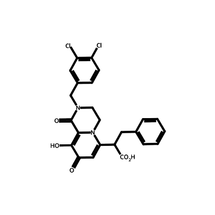 O=C(O)C(Cc1ccccc1)c1cc(=O)c(O)c2n1CCN(Cc1ccc(Cl)c(Cl)c1)C2=O